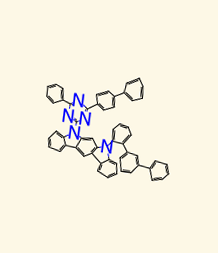 c1ccc(-c2ccc(-c3nc(-c4ccccc4)nc(-n4c5ccccc5c5cc6c7ccccc7n(-c7ccccc7-c7cccc(-c8ccccc8)c7)c6cc54)n3)cc2)cc1